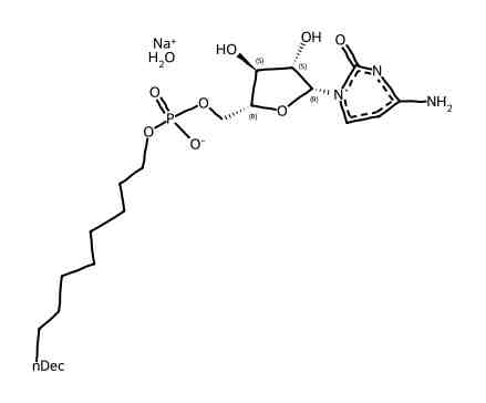 CCCCCCCCCCCCCCCCCCOP(=O)([O-])OC[C@H]1O[C@@H](n2ccc(N)nc2=O)[C@@H](O)[C@@H]1O.O.[Na+]